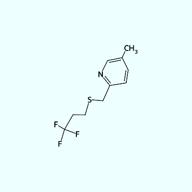 Cc1ccc(CSCCC(F)(F)F)nc1